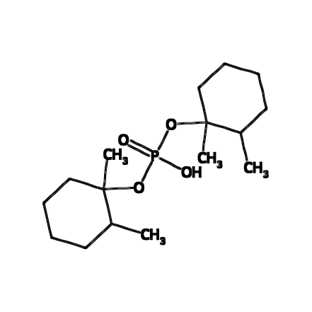 CC1CCCCC1(C)OP(=O)(O)OC1(C)CCCCC1C